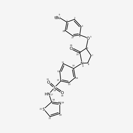 CC(C)(C)c1ccc(OC2CCN(c3ccc(S(=O)(=O)Nc4nccs4)cc3)C2=O)cc1